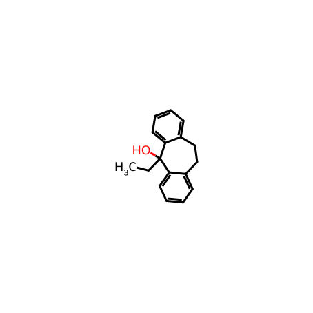 CCC1(O)c2ccccc2CCc2ccccc21